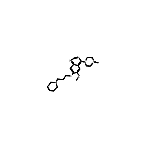 COc1cc2c(N3CCN(C)CC3)ncnc2cc1OCCCN1CCCCC1